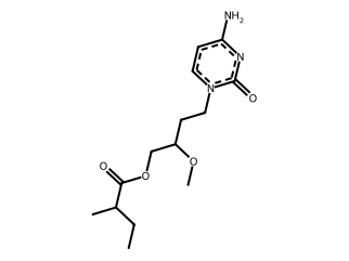 CCC(C)C(=O)OCC(CCn1ccc(N)nc1=O)OC